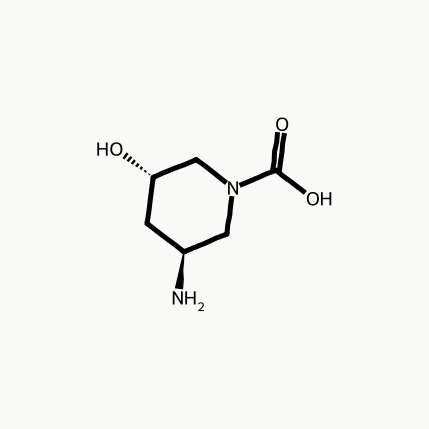 N[C@H]1C[C@H](O)CN(C(=O)O)C1